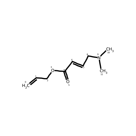 C=CCOC(=O)C=CCN(C)C